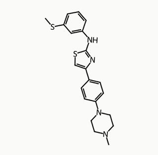 CSc1cccc(Nc2nc(-c3ccc(N4CCN(C)CC4)cc3)cs2)c1